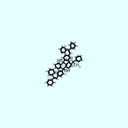 CC(C)(c1ccccc1)c1ccc2c(c1)C(O)(c1ccc(C=C(c3ccccc3)c3ccccc3)cc1)c1ccccc1C2(O)c1ccc(C=C(c2ccccc2)c2ccccc2)cc1